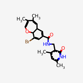 CC1=COC2C(Br)=CC(C(=O)NCc3c(C)cc(C)[nH]c3=O)=CC2C=C1C